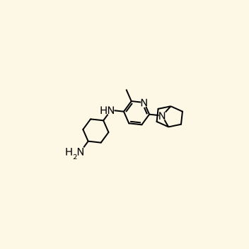 Cc1nc(N2C3CCC2CC3)ccc1NC1CCC(N)CC1